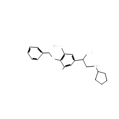 COc1cc(C(O)CNC2CCCC2)cc(Cl)c1OCc1ccccc1